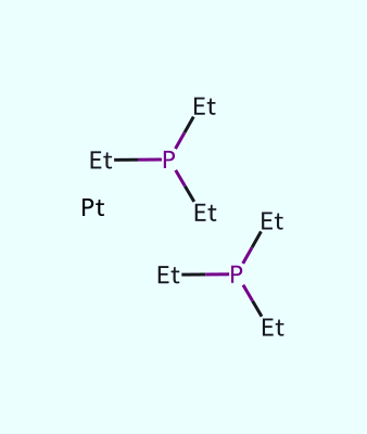 CCP(CC)CC.CCP(CC)CC.[Pt]